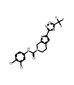 O=C(Nc1ccc(Cl)c(Cl)c1)N1CCc2cc(-c3noc(C(F)(F)F)n3)sc2C1